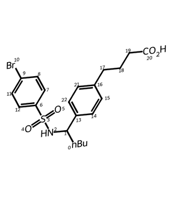 CCCCC(NS(=O)(=O)c1ccc(Br)cc1)c1ccc(CCCC(=O)O)cc1